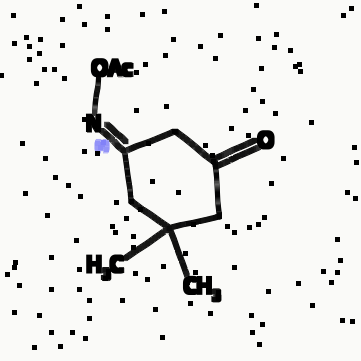 CC(=O)O/N=C1\CC(=O)CC(C)(C)C1